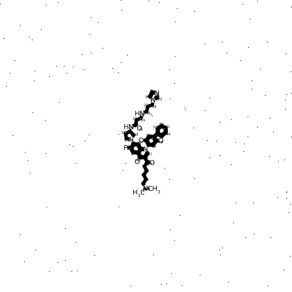 CN(C)CCCCCC(=O)c1cn2c3c(c(N4CC[C@@H](NC(=O)CCNCCCn5ccnc5)C4)c(F)cc3c1=O)Oc1cc3c(cc1-2)oc1ccccc13